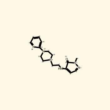 Cn1nccc(NCCN2CCN(c3ccccn3)CC2)c1=O